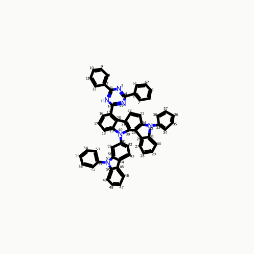 c1ccc(-c2nc(-c3ccccc3)nc(-c3cccc4c3c3ccc5c(c6ccccc6n5-c5ccccc5)c3n4-c3ccc4c5ccccc5n(-c5ccccc5)c4c3)n2)cc1